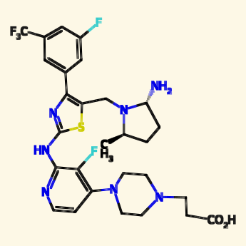 C[C@@H]1CC[C@@H](N)N1Cc1sc(Nc2nccc(N3CCN(CCC(=O)O)CC3)c2F)nc1-c1cc(F)cc(C(F)(F)F)c1